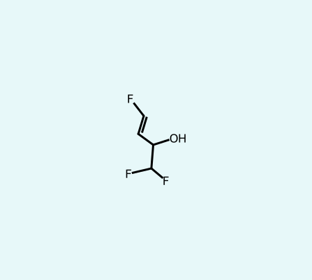 OC(C=CF)C(F)F